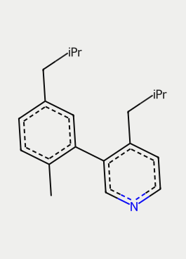 Cc1ccc(CC(C)C)cc1-c1cnccc1CC(C)C